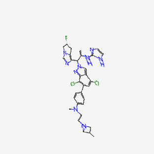 C=C(Nc1ncc[nH]1)C(c1ncn2c1C[C@@H](F)C2)n1cc2c(Cl)cc(-c3ccc(N(C)CCN4CC(C)C4)cc3)c(Cl)c2n1